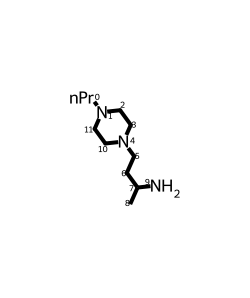 CCCN1CCN(CCC(C)N)CC1